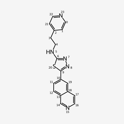 c1cc(CCNc2nnc(-c3ccc4cnccc4c3)s2)ccn1